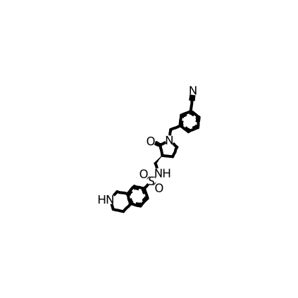 N#Cc1cccc(CN2CC[C@@H](CNS(=O)(=O)c3ccc4c(c3)CNCC4)C2=O)c1